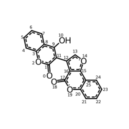 O=c1oc2ccccc2c(O)c1-c1coc2c1c(=O)oc1ccccc12